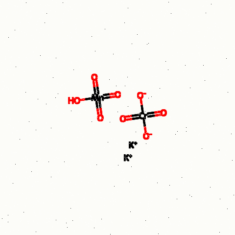 [K+].[K+].[O]=[Cr](=[O])([O-])[O-].[O]=[Mn](=[O])(=[O])[OH]